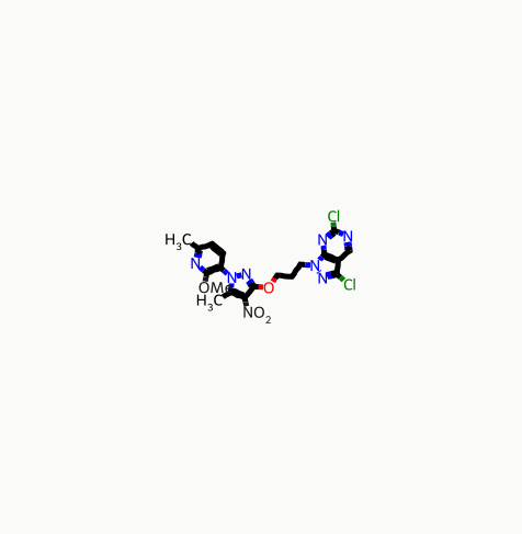 COc1nc(C)ccc1-n1nc(OCCCn2nc(Cl)c3cnc(Cl)nc32)c([N+](=O)[O-])c1C